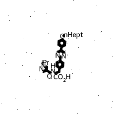 CCCCCCCOc1ccc(-c2cnc(-c3ccc(CC(NC(=O)c4cnn(C(C)C)c4)C(=O)O)cc3)nc2)cc1